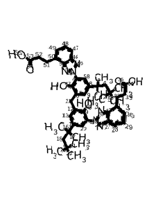 CC(C)(C)CC(C)(C)c1cc(Cc2cc(C(C)(C)CC(C)(C)C)cc(-n3nc4cccc(CCC(=O)O)c4n3)c2O)c(O)c(-n2nc3cccc(CCC(=O)O)c3n2)c1